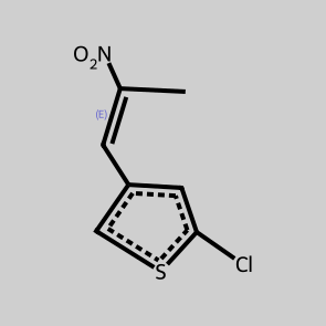 C/C(=C\c1csc(Cl)c1)[N+](=O)[O-]